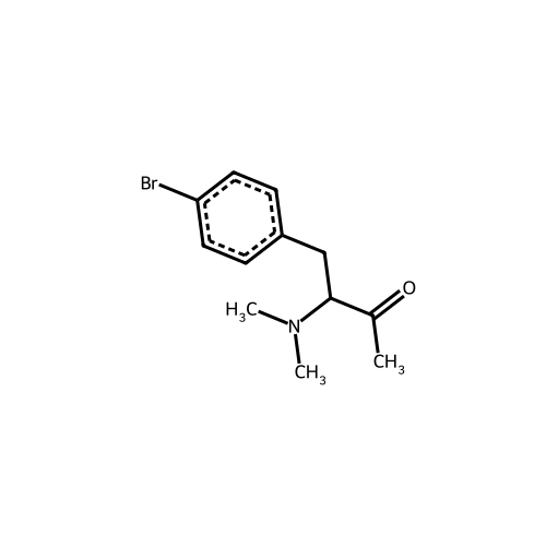 CC(=O)C(Cc1ccc(Br)cc1)N(C)C